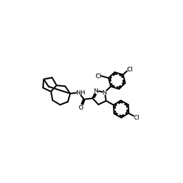 O=C(NC12CCCC3CC(CC3C1)C2)C1=NN(c2ccc(Cl)cc2Cl)C(c2ccc(Cl)cc2)C1